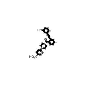 O=C(O)c1ccc(N2CCN(C(=O)c3ccccc3C#Cc3cccc(O)c3)CC2)nn1